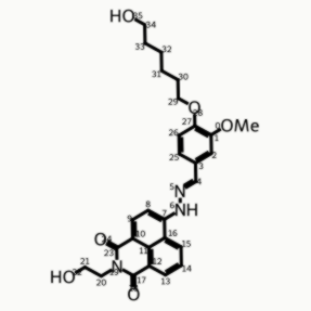 COc1cc(C=NNc2ccc3c4c(cccc24)C(=O)N(CCO)C3=O)ccc1OCCCCCCO